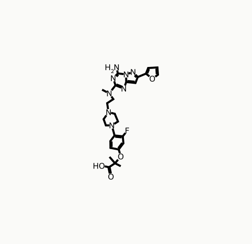 CN(CCN1CCN(c2ccc(OC(C)(C)C(=O)O)cc2F)CC1)c1nc(N)n2nc(-c3ccco3)cc2n1